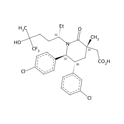 CC[C@@H](CCC(C)(O)C(F)(F)F)N1C(=O)[C@](C)(CC(=O)O)C[C@H](c2cccc(Cl)c2)[C@H]1c1ccc(Cl)cc1